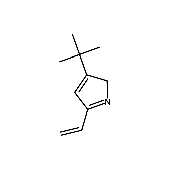 C=CC1=NCC(C(C)(C)C)=C1